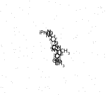 Cc1nn2c(OC3CCC(c4nc(C(C)C)no4)CC3)ccnc2c1-c1ccc(S(C)(=O)=O)cc1F